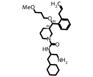 C=CCc1ccccc1[C@H](OCCCOC)[C@@H]1CCCN(C(=O)NC(CN)CC2CCCCC2)C1